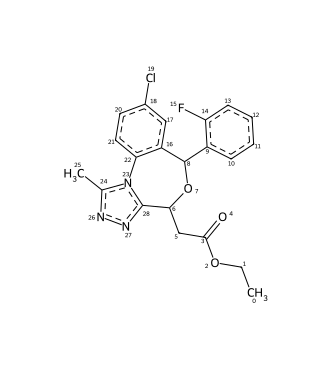 CCOC(=O)CC1OC(c2ccccc2F)c2cc(Cl)ccc2-n2c(C)nnc21